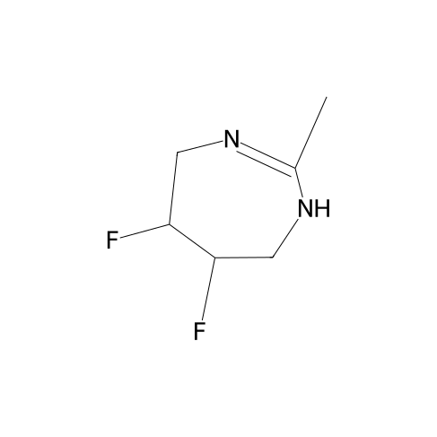 CC1=NCC(F)C(F)CN1